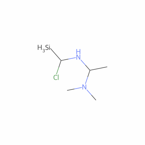 CC(NC([SiH3])Cl)N(C)C